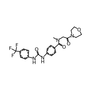 CN(CC(=O)N1CCOCC1)C(=O)c1ccc(NC(=O)Nc2ccc(C(F)(F)F)cc2)cc1